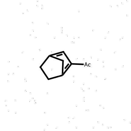 CC(=O)C1=C2CCC(=C1)C2